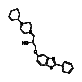 OC(COc1ccc2sc(-c3ccccc3)nc2c1)CN1C[CH]N(C2CCCCC2)CC1